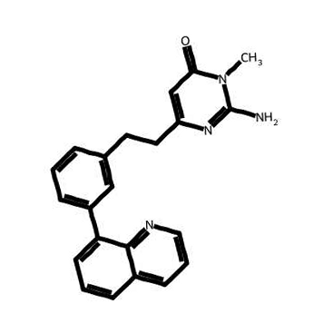 Cn1c(N)nc(CCc2cccc(-c3cccc4cccnc34)c2)cc1=O